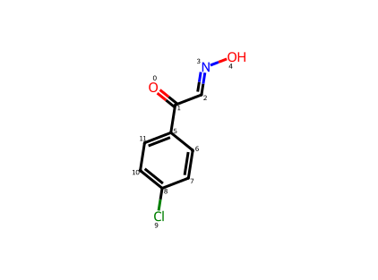 O=C(C=NO)c1ccc(Cl)cc1